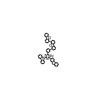 c1cc(-c2cccc3c2oc2c(-c4cccc5c4oc4ccccc45)cccc23)cc(C2N=C(n3c4ccccc4c4ccccc43)N=C(c3ccc4c(c3)Cc3ccccc3-4)N2)c1